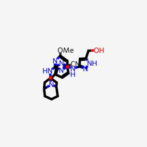 COc1cc(Nc2cc(CO)[nH]n2)nc(NC2CC3CCCC(C2)N3Cc2ccc(C#N)nc2)n1